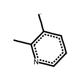 [CH2]c1cccnc1C